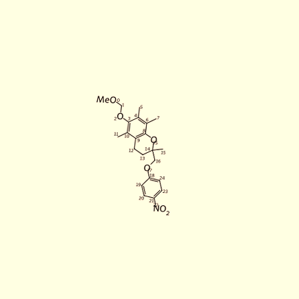 COCOc1c(C)c(C)c2c(c1C)CCC(C)(COc1ccc([N+](=O)[O-])cc1)O2